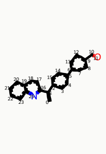 C=C(c1ccc(-c2ccc(C=O)cc2)cc1)c1ccc2ccccc2n1